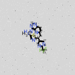 Cc1cnc([C@@H](Cc2ccc3ncnc(N)c3n2)c2cnc(C(F)(F)F)nc2)s1